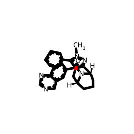 Cn1nc2c(c1-c1ccccc1)C[C@H]1CCC[C@@H]2N1C(=O)c1ccc2ncncc2c1